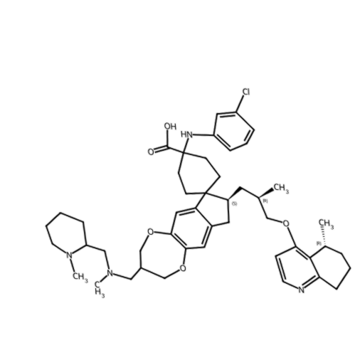 C[C@@H](COc1ccnc2c1[C@H](C)CCC2)C[C@H]1Cc2cc3c(cc2C12CCC(Nc1cccc(Cl)c1)(C(=O)O)CC2)OCC(CN(C)CC1CCCCN1C)CO3